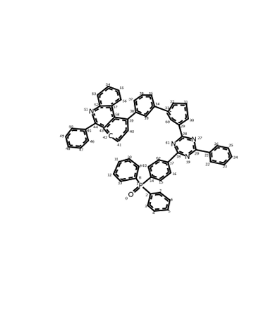 O=P(c1ccccc1)(c1ccccc1)c1ccc(-c2nc(-c3ccccc3)nc(-c3cccc(-c4cccc(-c5cccc6c(-c7ccccc7)nc7ccccc7c56)c4)c3)n2)cc1